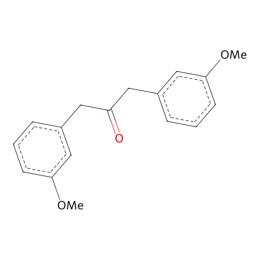 COc1cccc(CC(=O)Cc2cccc(OC)c2)c1